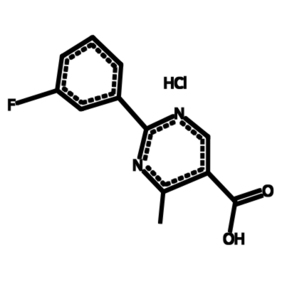 Cc1nc(-c2cccc(F)c2)ncc1C(=O)O.Cl